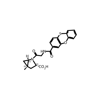 C[C@@]12C[C@@H]1N(C(=O)CNC(=O)c1ccc3c(c1)Oc1ccccc1S3)[C@H](C(=O)O)C2